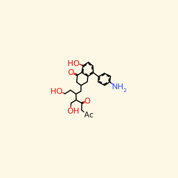 CC(=O)CC(=O)C(CO)C(CCO)CC1CC(=O)c2c(O)ccc(-c3ccc(N)cc3)c2C1